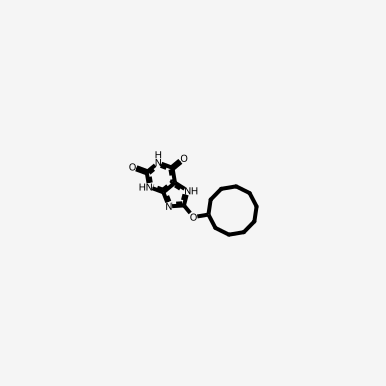 O=c1[nH]c(=O)c2[nH]c(OC3CCCCCCCCC3)nc2[nH]1